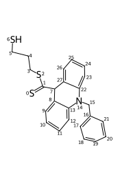 S=C(SCCCS)C1c2ccccc2N(Cc2ccccc2)c2ccccc21